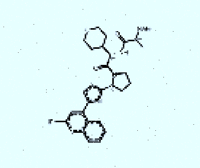 CN[C@@H](C)C(=O)N[C@H](C(=O)N1CCC[C@H]1c1nc(-c2cc(C(C)C)nc3ccccc23)cs1)C1CCOCC1